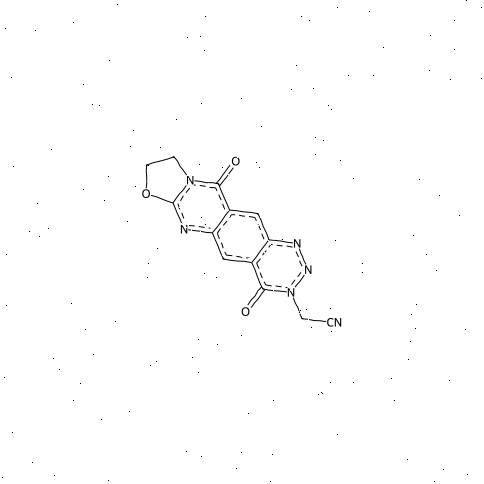 N#CCn1nnc2cc3c(=O)n4c(nc3cc2c1=O)OCC4